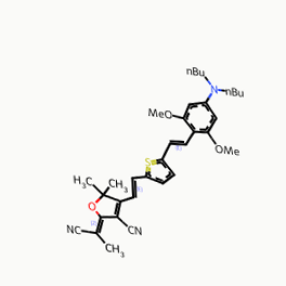 CCCCN(CCCC)c1cc(OC)c(/C=C/c2ccc(/C=C/C3=C(C#N)C(=C(\C)C#N)/OC3(C)C)s2)c(OC)c1